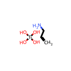 C=CCN.[OH][Ti]([OH])([OH])[OH]